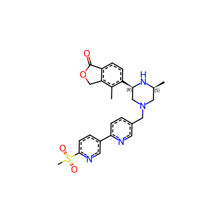 Cc1c([C@@H]2CN(Cc3ccc(-c4ccc(S(C)(=O)=O)nc4)nc3)C[C@H](C)N2)ccc2c1COC2=O